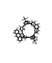 CC(C)(C)c1cc2c3nc(c(-c4c5ccccc5cc5ccccc45)c4ccc([nH]4)c4cc(C(C)(C)C)cc(c4O)c4ccc5ccc6ccc(nc6c5n4)c(c1)c2O)C=C3